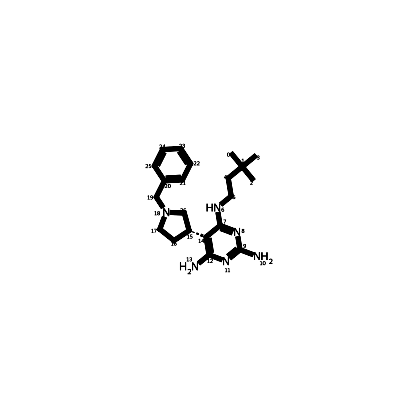 CC(C)(C)CCNc1nc(N)nc(N)c1[C@@H]1CCN(Cc2ccccc2)C1